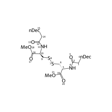 CCCCCCCCCCCC(=O)N[C@@H](CSSC[C@H](NC(=O)CCCCCCCCCCC)C(=O)OC)C(=O)OC